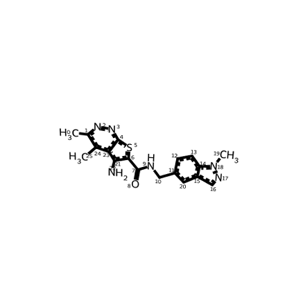 Cc1nnc2sc(C(=O)NCc3ccc4c(cnn4C)c3)c(N)c2c1C